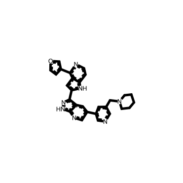 c1cc2[nH]c(-c3n[nH]c4ncc(-c5cncc(CN6CCCCC6)c5)cc34)cc2c(-c2ccoc2)n1